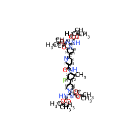 Cc1cc(C2=CCN(/C(=N\C(=O)OC(C)(C)C)NC(=O)OC(C)(C)C)CC2)c(F)cc1NC(=O)c1ccc(C2=CCN(/C(=N\C(=O)OC(C)(C)C)NC(=O)OC(C)(C)C)CC2)nc1